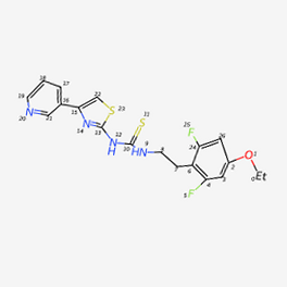 CCOc1cc(F)c(CCNC(=S)Nc2nc(-c3cccnc3)cs2)c(F)c1